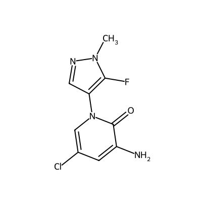 Cn1ncc(-n2cc(Cl)cc(N)c2=O)c1F